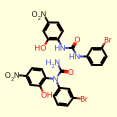 NC(=O)N(c1cccc(Br)c1)c1ccc([N+](=O)[O-])cc1O.O=C(Nc1cccc(Br)c1)Nc1ccc([N+](=O)[O-])cc1O